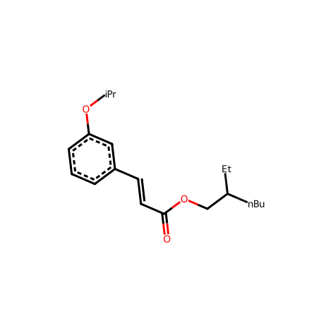 CCCCC(CC)COC(=O)C=Cc1cccc(OC(C)C)c1